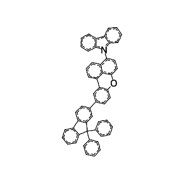 c1ccc(C2(c3ccccc3)c3ccccc3-c3ccc(-c4ccc5c(c4)-c4cccc6c(-n7c8ccccc8c8ccccc87)ccc(c46)O5)cc32)cc1